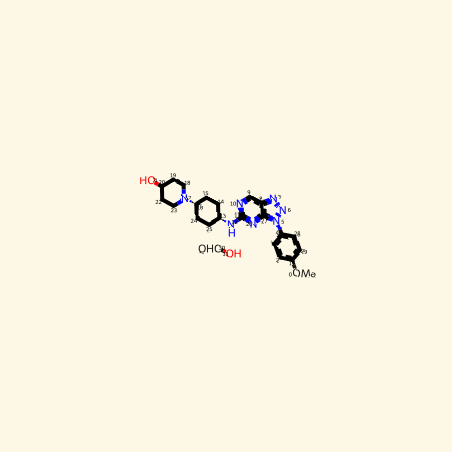 COc1ccc(-n2nnc3cnc(N[C@H]4CC[C@@H](N5CCC(O)CC5)CC4)nc32)cc1.O=CO